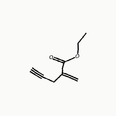 C#CCC(=C)C(=O)OCC